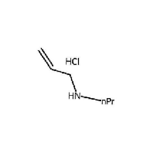 C=CCNCCC.Cl